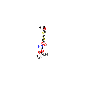 C=C(C)C(=O)OCCNC(=O)OCCSCCSCCOC